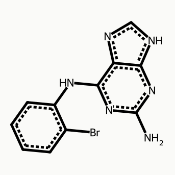 Nc1nc(Nc2ccccc2Br)c2nc[nH]c2n1